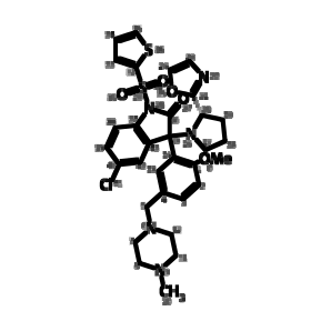 COc1ccc(CN2CCN(C)CC2)cc1C1(N2CCC[C@H]2c2ncco2)C(=O)N(S(=O)(=O)c2cccs2)c2ccc(Cl)cc21